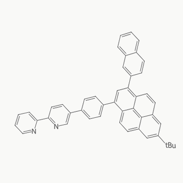 CC(C)(C)c1cc2ccc3c(-c4ccc(-c5ccc(-c6ccccn6)nc5)cc4)cc(-c4ccc5ccccc5c4)c4ccc(c1)c2c34